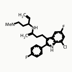 C=CC(CCNC)NC(=C)CCc1c(-c2ccc(F)cc2)[nH]c2c(Cl)cc(F)cc12